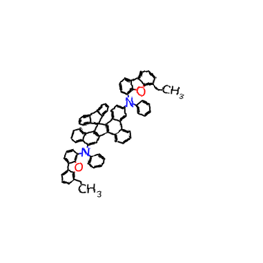 CCc1cccc2c1oc1c(N(c3ccccc3)c3ccc4c5c(c6ccccc6c4c3)-c3cc(N(c4ccccc4)c4cccc6c4oc4c(CC)cccc46)c4ccccc4c3C53c4ccccc4-c4ccccc43)cccc12